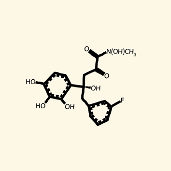 CN(O)C(=O)C(=O)C[C@](O)(Cc1cccc(F)c1)c1ccc(O)c(O)c1O